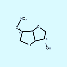 O=[N+]([O-])O[C@@H]1COC2C1OC[C@@H]2O